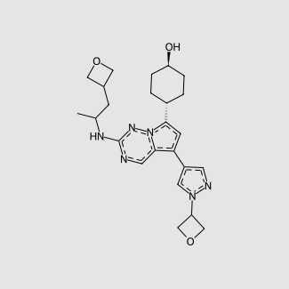 CC(CC1COC1)Nc1ncc2c(-c3cnn(C4COC4)c3)cc([C@H]3CC[C@H](O)CC3)n2n1